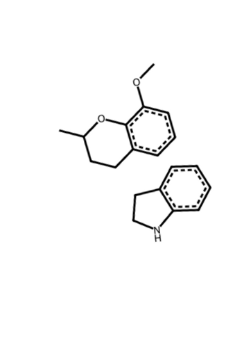 COc1cccc2c1OC(C)CC2.c1ccc2c(c1)CCN2